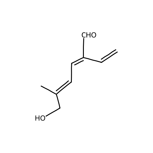 C=C/C(C=O)=C\C=C(/C)CO